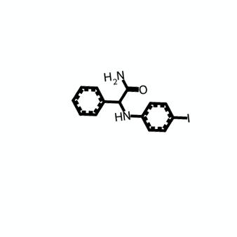 NC(=O)C(Nc1ccc(I)cc1)c1ccccc1